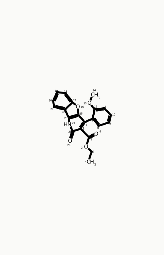 CCOC(=O)c1c(-c2ccccc2OC)c2oc3ccccc3c2[nH]c1=O